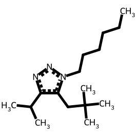 CCCCCCn1nnc(C(C)C)c1CC(C)(C)C